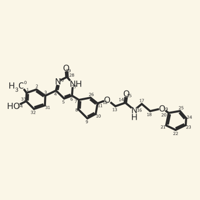 Cc1cc(-c2cc(-c3cccc(OCC(=O)NCCOc4ccccc4)c3)[nH]c(=O)n2)ccc1O